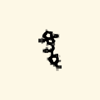 B[C@@]12CCC[C@]1(S)CN(CC(O)c1ccc(O)cn1)C2